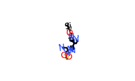 CCS(=O)(=O)N1CC(CC#N)(n2cc(-c3ccnc4c3ccn4COCC[Si](C)(C)C)cn2)C1